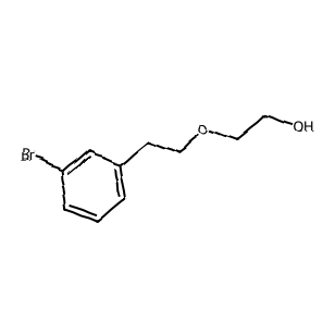 OCCOCCc1cccc(Br)c1